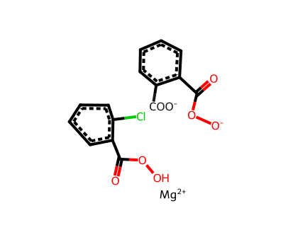 O=C(OO)c1ccccc1Cl.O=C([O-])c1ccccc1C(=O)O[O-].[Mg+2]